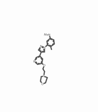 CNc1ccc(C)c(-n2cc(-c3cncc(OCCN4CCOCC4)c3)cn2)c1